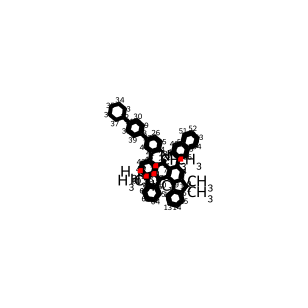 CC1(C)C2=CC3(C)C4=C(C2(C)c2ccccc21)C1(C)C(=CC4(C)N(c2ccc(-c4ccc(C5CCCCC5)cc4)cc2-c2ccccc2)c2cc4ccccc4cc23)C(C)(C)c2ccccc21